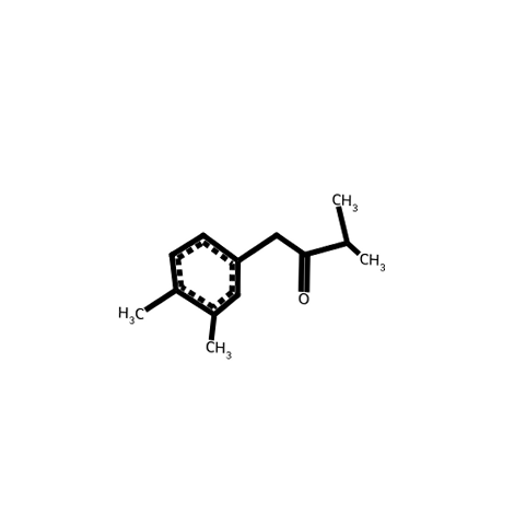 Cc1ccc(CC(=O)C(C)C)cc1C